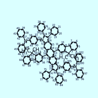 CC1(C)c2ccccc2-c2ccc(-c3c4cc5c(-c6ccccc6)c(-c6ccccc6)n(-c6ccc(N(c7ccccc7)c7ccccc7)cc6)c5cc4c(-c4ccc5c(c4)C(C)(C)c4ccccc4-5)c4cc5c(-c6ccccc6)c(-c6ccccc6)n(-c6ccc(N(c7ccccc7)c7ccccc7)cc6)c5cc34)cc21